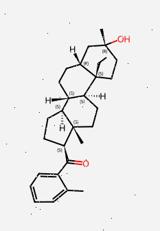 CC[C@]12CC[C@@](C)(O)C[C@H]1CC[C@H]1[C@@H]3CC[C@H](C(=O)c4ccccc4C)[C@@]3(C)CC[C@@H]12